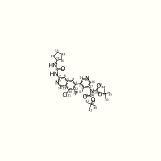 Cc1c(-c2cc3cc(NC(=O)NC4CCCC4)ncc3c(Cl)c2F)cncc1N(C(=O)OC(C)(C)C)C(=O)OC(C)(C)C